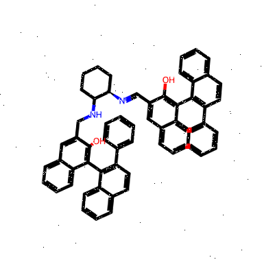 Oc1c(/C=N/[C@@H]2CCCCC2NCc2cc3ccccc3c(-c3c(-c4ccccc4)ccc4ccccc34)c2O)cc2ccccc2c1-c1c(-c2ccccc2)ccc2ccccc12